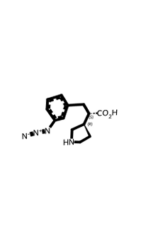 [N-]=[N+]=Nc1cccc(C[C@H](C(=O)O)[C@H]2CCNC2)c1